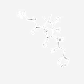 CC1(C)C(C(=O)OCC(Cl)(Cl)Cl)N2C(=O)C(NC(=O)Cc3cccs3)[C@@H]2[S+]1[O-]